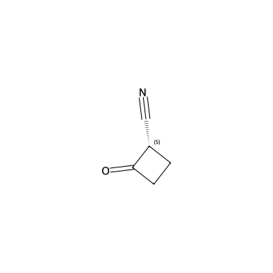 N#C[C@@H]1CCC1=O